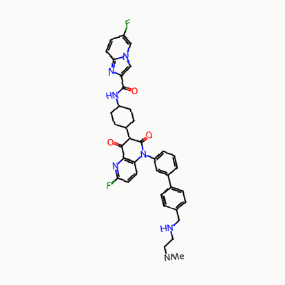 CNCCNCc1ccc(-c2cccc(N3C(=O)C(C4CCC(NC(=O)c5cn6cc(F)ccc6n5)CC4)C(=O)c4nc(F)ccc43)c2)cc1